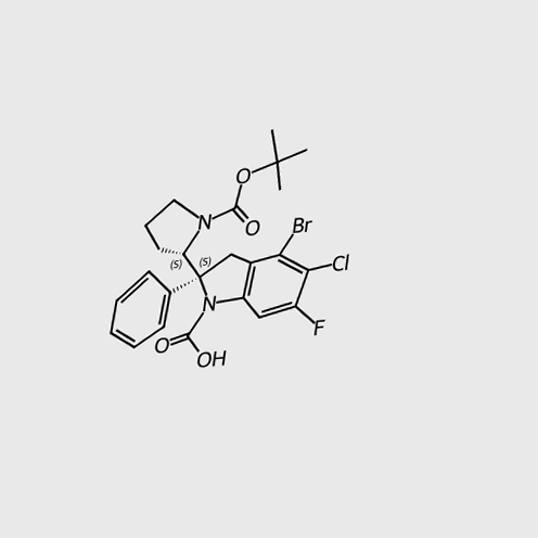 CC(C)(C)OC(=O)N1CCC[C@H]1[C@@]1(c2ccccc2)Cc2c(cc(F)c(Cl)c2Br)N1C(=O)O